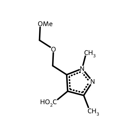 COCOCc1c(C(=O)O)c(C)nn1C